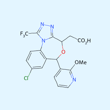 COc1ncccc1C1OC(CC(=O)O)c2nnc(C(F)(F)F)n2-c2ccc(Cl)cc21